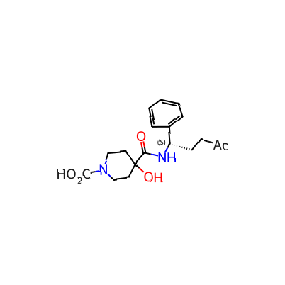 CC(=O)CC[C@H](NC(=O)C1(O)CCN(C(=O)O)CC1)c1ccccc1